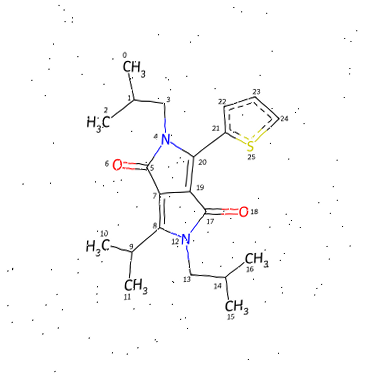 CC(C)CN1C(=O)C2=C(C(C)C)N(CC(C)C)C(=O)C2=C1c1cccs1